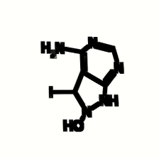 Nc1ncnc2c1C(I)N(O)N2